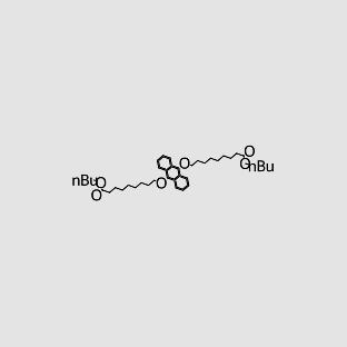 CCCCOC(=O)CCCCCCCCOc1c2ccccc2c(OCCCCCCCCC(=O)OCCCC)c2ccccc12